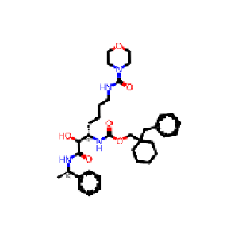 C[C@@H](NC(=O)C(O)[C@H](CCCCNC(=O)N1CCOCC1)NC(=O)OCC1(Cc2ccccc2)CCCCC1)c1ccccc1